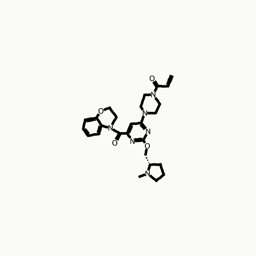 C=CC(=O)N1CCN(c2cc(C(=O)N3CCOc4ccccc43)nc(OC[C@@H]3CCCN3C)n2)CC1